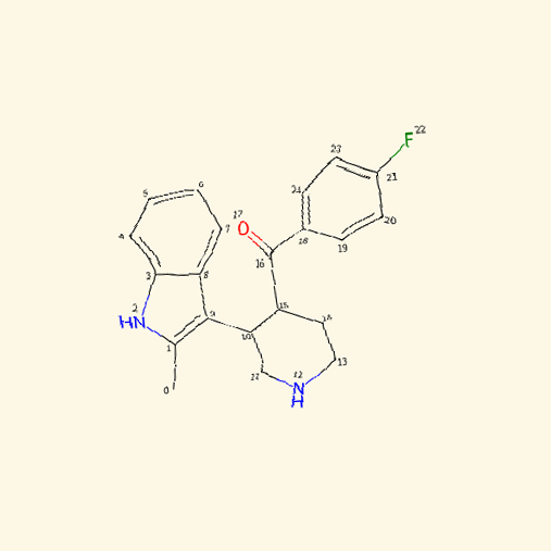 Cc1[nH]c2ccccc2c1C1CNCCC1C(=O)c1ccc(F)cc1